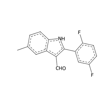 Cc1ccc2[nH]c(-c3cc(F)ccc3F)c(C=O)c2c1